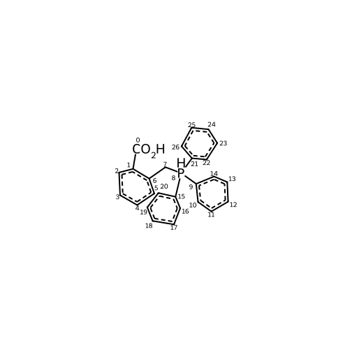 O=C(O)c1ccccc1C[PH](c1ccccc1)(c1ccccc1)c1ccccc1